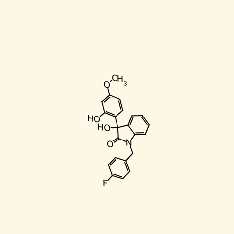 COc1ccc(C2(O)C(=O)N(Cc3ccc(F)cc3)c3ccccc32)c(O)c1